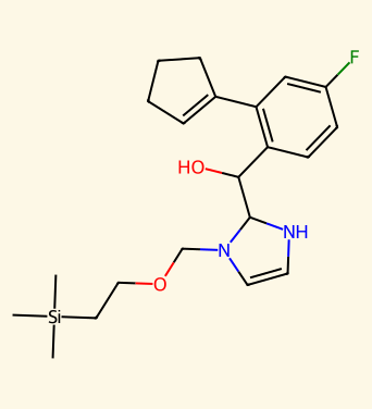 C[Si](C)(C)CCOCN1C=CNC1C(O)c1ccc(F)cc1C1=CCCC1